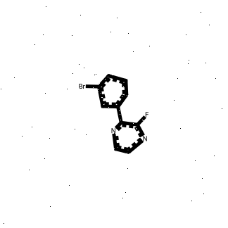 Fc1nccnc1-c1cc[c]c(Br)c1